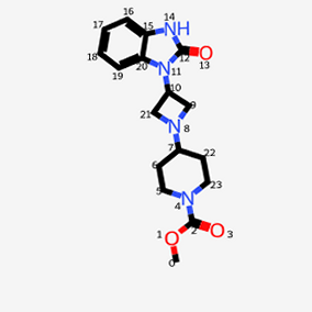 COC(=O)N1CCC(N2CC(n3c(=O)[nH]c4ccccc43)C2)CC1